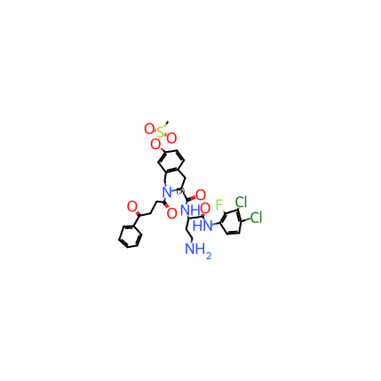 CS(=O)(=O)Oc1ccc2c(c1)CN(C(=O)CCC(=O)c1ccccc1)[C@H](C(=O)NC(CCN)C(=O)Nc1ccc(Cl)c(Cl)c1F)C2